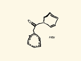 Br.O=C(c1ccccc1)N1C=CC=CC1